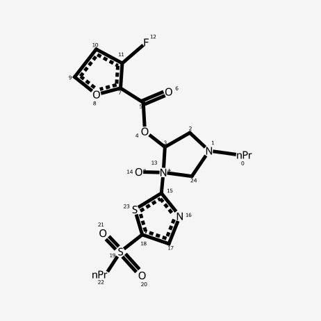 CCCN1CC(OC(=O)c2occc2F)[N+]([O-])(c2ncc(S(=O)(=O)CCC)s2)C1